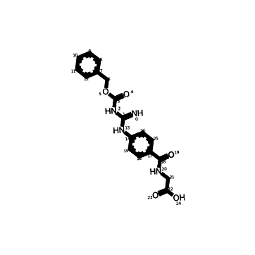 N=C(NC(=O)OCc1ccccc1)Nc1ccc(C(=O)NCC(=O)O)cc1